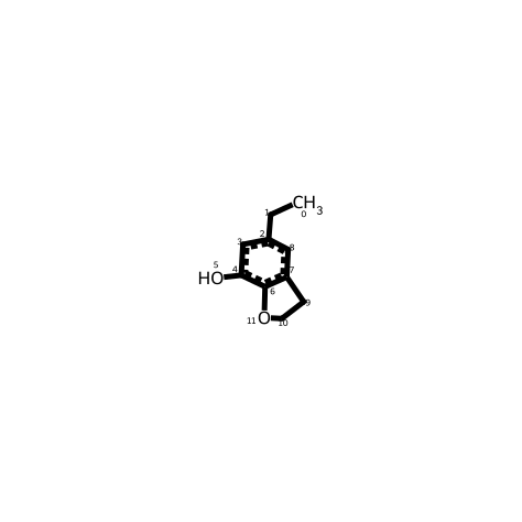 CCc1cc(O)c2c(c1)CCO2